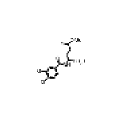 COC(=O)CC[C@H](NC(=O)c1ccc(Cl)c(Cl)c1)C(=O)O